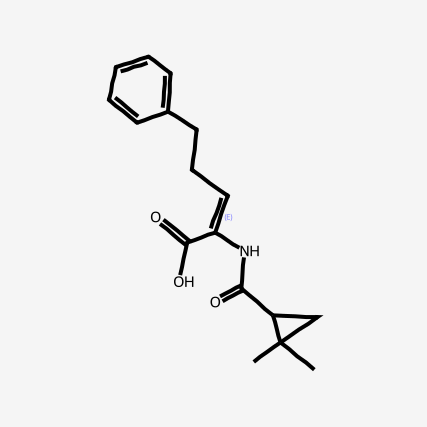 CC1(C)CC1C(=O)N/C(=C/CCc1ccccc1)C(=O)O